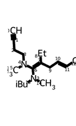 C#CCCN(C)/C(=C(\CC)C/C=C/C)N(C)C(C)CC